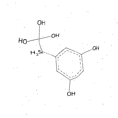 Oc1cc(O)cc([SiH2]C(O)(O)O)c1